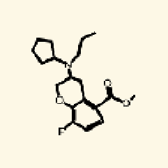 CCCN(C1CCCC1)C1COc2c(F)ccc(C(=O)OC)c2C1